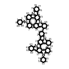 c1ccc(-n2c3ccccc3c3c4c5c6c7cccc8c9c(-c%10ccc%11c%12cc%13c(c%14c%15ccccc%15n(c%11c%10)c%12%14)c%10c%11c%12ccccc%12n(-c%12ccccc%12)c%11cc%11c%12ccccc%12n%13c%11%10)cccc9n(c6cc6c9ccccc9n(c4ccc32)c65)c87)cc1